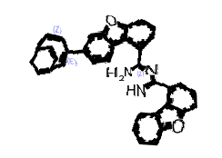 N=C(/N=C(\N)c1cccc2oc3cc(C4=C/C5=CCC(C=C5)/C=C\4)ccc3c12)c1cccc2oc3ccccc3c12